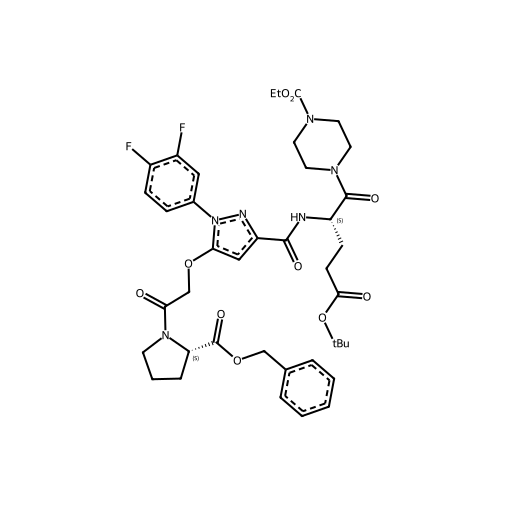 CCOC(=O)N1CCN(C(=O)[C@H](CCC(=O)OC(C)(C)C)NC(=O)c2cc(OCC(=O)N3CCC[C@H]3C(=O)OCc3ccccc3)n(-c3ccc(F)c(F)c3)n2)CC1